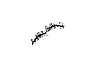 O=C(OOC(=O)C(F)(F)C(F)(F)C(F)(Cl)C(F)(Cl)C(F)C(F)C(F)C(F)C(F)F)C(F)(F)C(F)(F)C(F)(Cl)C(F)(Cl)C(F)C(F)C(F)C(F)C(F)F